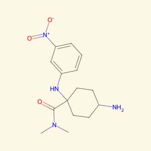 CN(C)C(=O)C1(Nc2cccc([N+](=O)[O-])c2)CCC(N)CC1